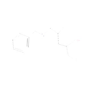 CC(CNCc1ccccc1)CC(O)CCl